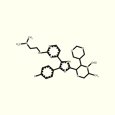 CC1COC(c2nc(-c3ccc(F)cc3)c(-c3ccnc(NCCN(C)C)n3)[nH]2)C(C2COCOC2)N1C=O